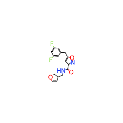 O=C(NCC1C=COC1)c1cc(Cc2cc(F)cc(F)c2)on1